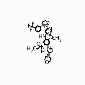 C=CC(=O)Nc1cc(Nc2cc(N3OCC[C@@H]3c3cccc(C(F)(F)F)c3)ncn2)c(OC)cc1N1CC[C@H](N2CCOCC2)C1